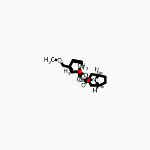 COCc1ccnc(OC2C[C@H]3CC[C@H](C2)N3C(=O)OC(C)(C)C)c1